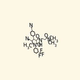 CC1=C(C#N)C(c2ccc(C#N)cc2)C(C(=O)NCCC(=O)N(C)C)C(=O)N1c1cccc(C(F)(F)F)c1